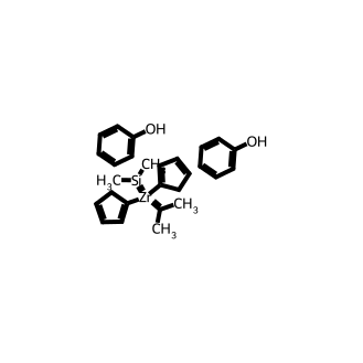 C[C](C)=[Zr]([C]1=CC=CC1)([C]1=CC=CC1)=[Si](C)C.Oc1ccccc1.Oc1ccccc1